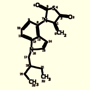 C=C1C(=O)SC(=O)N1c1cccc2c1ccn2CC(CC)CC